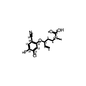 C=CC(CCN(C)C(=O)O)Oc1cc(Cl)c(F)cc1C#N